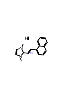 CN1C=CN(C)C1/C=C/c1cccc2ccccc12.I